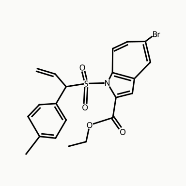 C=CC(c1ccc(C)cc1)S(=O)(=O)n1c(C(=O)OCC)cc2cc(Br)ccc21